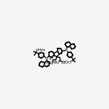 CCCCCCCCC(C)(C)c1ccc(N(c2ccc3c(c2)C(CC(CC)CCCC)(CC(CC)CCCC)c2cc(N(c4ccc(C(C)(C)CCCCCC)cc4)c4cccc5ccccc45)ccc2-3)c2cccc3ccccc23)cc1